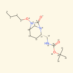 CCCCON1C(=O)N2CC1CC[C@H]2CNC(=O)OC(C)(C)C